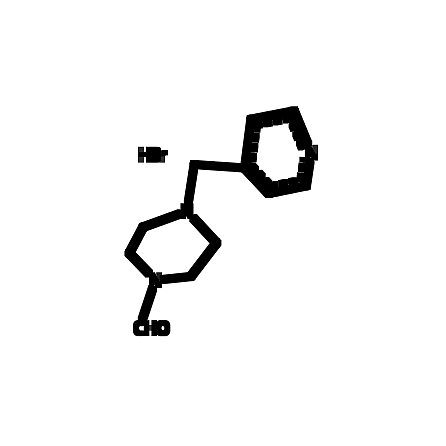 Br.O=CN1CCN(Cc2ccncc2)CC1